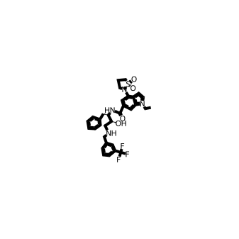 CCn1ccc2c(N3CCCS3(=O)=O)cc(C(=O)N[C@@H](Cc3ccccc3)[C@H](O)CNCc3cccc(C(F)(F)F)c3)cc21